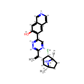 C=C(c1ncc(-c2cc3ccncc3cc2O)nn1)[C@H]1C[C@]2(C)CC[C@@H](N2)[C@H]1F